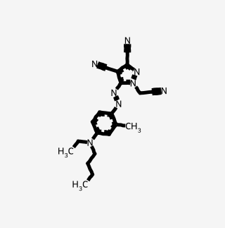 CCCCN(CC)c1ccc(N=Nc2c(C#N)c(C#N)nn2CC#N)c(C)c1